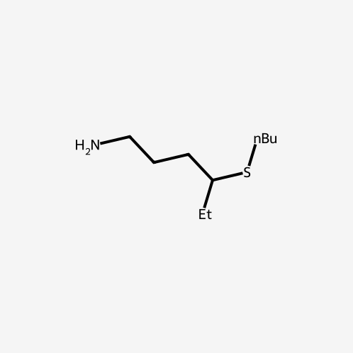 CCCCSC(CC)CCCN